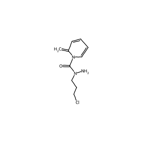 C=C1C=CC=CN1C(=O)N(N)CCCCl